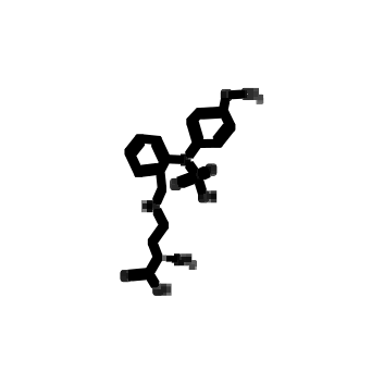 COc1ccc(N(c2ccccc2CNCC[C@H](N)C(=O)O)S(=O)(=O)O)cc1